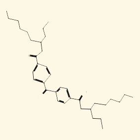 CCCCCCC(CCC)CC(=O)c1ccc(C(=O)c2ccc(C(=O)CC(CCC)CCCCCC)cc2)cc1